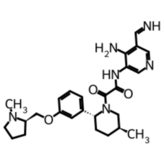 C[C@H]1CC[C@H](c2cccc(OC[C@H]3CCCN3C)c2)N(C(=O)C(=O)Nc2cncc(C=N)c2N)C1